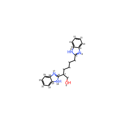 OCC(CCCCc1nc2ccccc2[nH]1)c1nc2ccccc2[nH]1